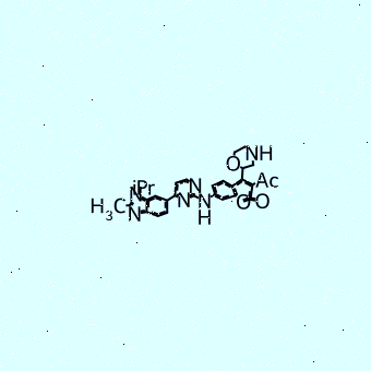 CC(=O)c1c(C2CNCCO2)c2ccc(Nc3nccc(-c4ccc5nc(C)n(C(C)C)c5c4)n3)cc2oc1=O